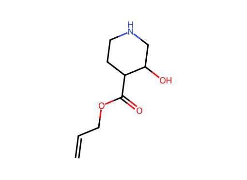 C=CCOC(=O)C1CCNCC1O